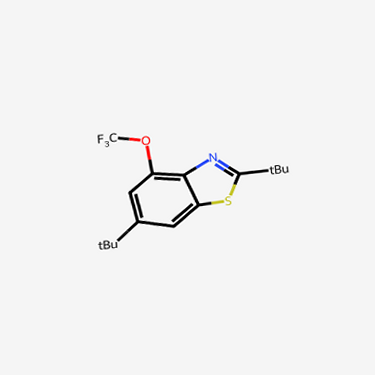 CC(C)(C)c1cc(OC(F)(F)F)c2nc(C(C)(C)C)sc2c1